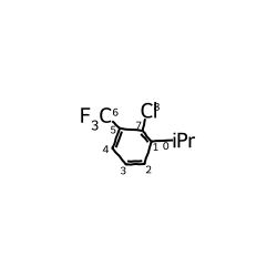 CC(C)c1cccc(C(F)(F)F)c1Cl